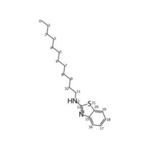 CCCCCCCCCCCCNc1nc2ccccc2s1